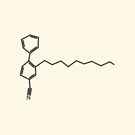 CCCCCCCCCCc1cc(C#N)ccc1-c1ccccc1